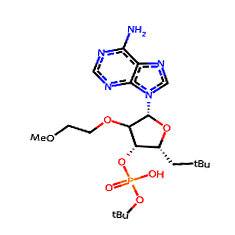 COCCOC1[C@@H](OP(=O)(O)OC(C)(C)C)[C@@H](CC(C)(C)C)O[C@H]1n1cnc2c(N)ncnc21